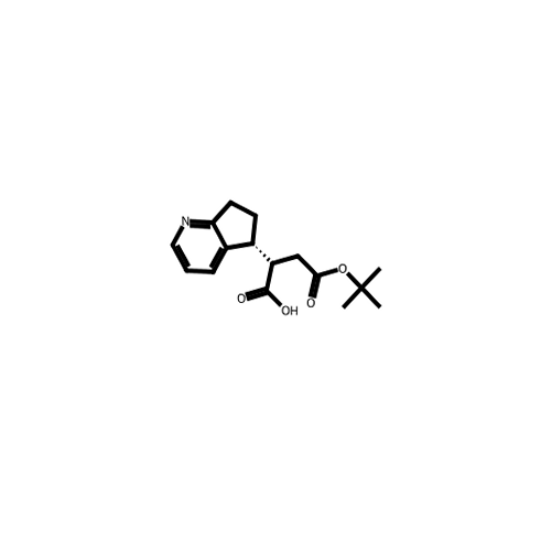 CC(C)(C)OC(=O)CC(C(=O)O)[C@H]1CCc2ncccc21